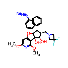 COc1cc2c(c(OC)n1)[C@]1(O)[C@H](O)[C@H](CN3CC(F)(F)C3)[C@@H](c3ccccc3)[C@]1(c1ccc(N=[N+]=[N-])cc1)O2